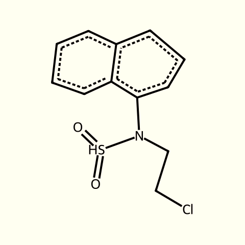 O=[SH](=O)N(CCCl)c1cccc2ccccc12